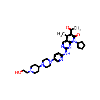 CC(=O)c1c(C)c2cnc(Nc3ccc(N4CCN(C5CCN(CCO)CC5)CC4)cn3)nc2n(C2CCCC2)c1=O